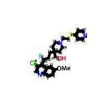 COc1ccc2ncc(Cl)c([C@@H](F)CCC3(CO)CCN(CCSc4ccncc4)CC3)c2c1